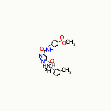 [2H]C([2H])(NC(=O)c1cc(C(=O)NCc2ccc(C(=O)OC)cc2)ncn1)c1cccc(C)c1